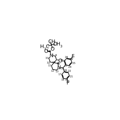 CC(C)(C)OC(=O)N1CCC2(CCCN(C(c3ccc(F)cc3)c3ccc(F)cc3)C2=O)CC1